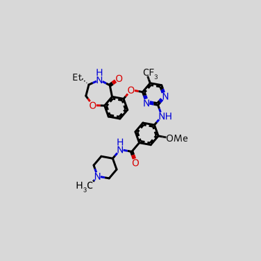 CC[C@H]1COc2cccc(Oc3nc(Nc4ccc(C(=O)NC5CCN(C)CC5)cc4OC)ncc3C(F)(F)F)c2C(=O)N1